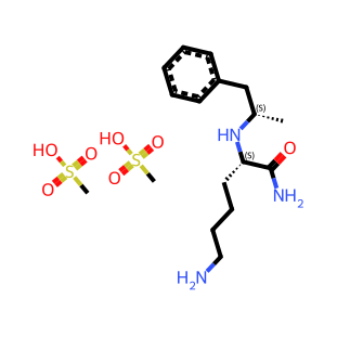 CS(=O)(=O)O.CS(=O)(=O)O.C[C@@H](Cc1ccccc1)N[C@@H](CCCCN)C(N)=O